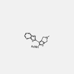 CC(=O)Nc1sc2c(c1-c1nc3ccccc3s1)CN(C)C2